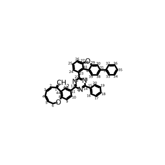 C=C1/C=C\C=C/COc2ccc(-c3nc(-c4ccccc4)nc(-c4cccc5oc6cc(-c7ccccc7)ccc6c45)n3)cc21